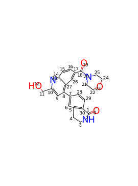 O=C1NCCc2cc(-c3cc(CO)nc4ccc(C(=O)N5CCOCC5)cc34)ccc21